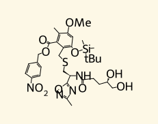 COc1cc(O[Si](C)(C)C(C)(C)C)c(CSC[C@@H](NC(=O)CC[C@@H](O)CO)c2nc(C)no2)c(C(=O)OCc2ccc([N+](=O)[O-])cc2)c1C